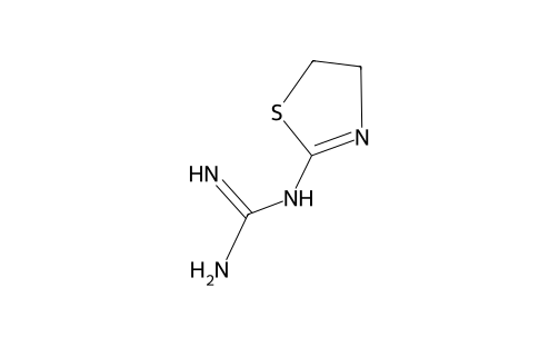 N=C(N)NC1=NCCS1